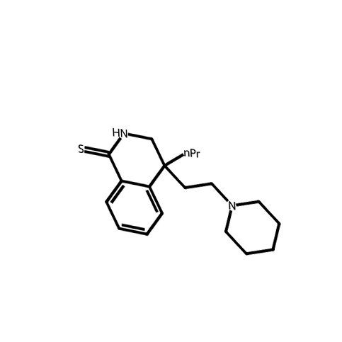 CCCC1(CCN2CCCCC2)CNC(=S)c2ccccc21